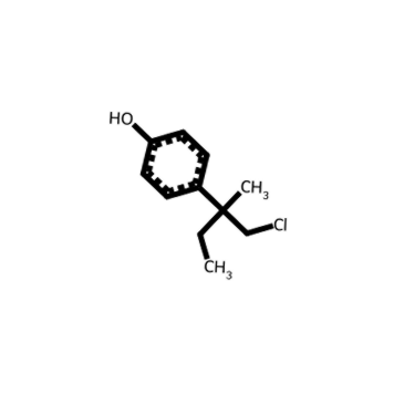 CCC(C)(CCl)c1ccc(O)cc1